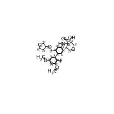 COc1cc(-c2ccc(NC3(C(=O)O)CCOCC3)cc2COC2CCOC2)c(F)c(OC)n1